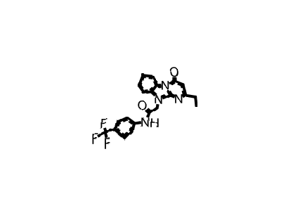 CCc1cc(=O)n2c3ccccc3n(CC(=O)Nc3ccc(C(F)(F)F)cc3)c2n1